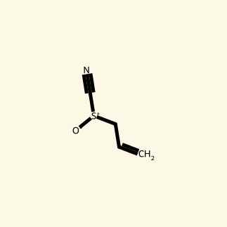 C=CC[S+]([O-])C#N